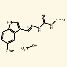 CCCCCNC(=N)N/N=C/c1c[nH]c2ccc(OC)cc12.O=[N+]([O-])O